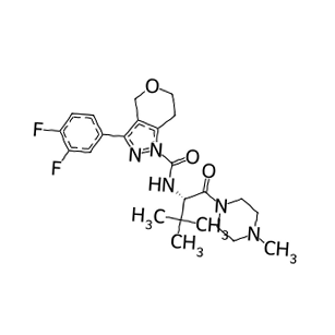 CN1CCN(C(=O)[C@@H](NC(=O)n2nc(-c3ccc(F)c(F)c3)c3c2CCOC3)C(C)(C)C)CC1